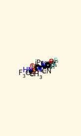 CC(C)n1c(-c2ccc(S(=O)(=O)N[C@@H](C)C(F)(F)F)cn2)c(C#N)c2cc(F)c(OC(F)F)cc21